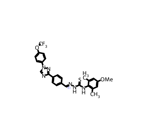 COc1cc(C)c(NC(=S)N/N=C/c2ccc(-c3ncn(-c4ccc(OC(F)(F)F)cc4)n3)cc2)c(C)c1